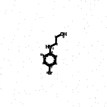 OCCNc1ccc(Br)cn1